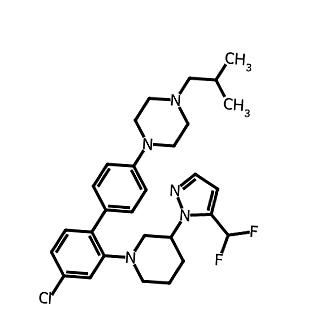 CC(C)CN1CCN(c2ccc(-c3ccc(Cl)cc3N3CCCC(n4nccc4C(F)F)C3)cc2)CC1